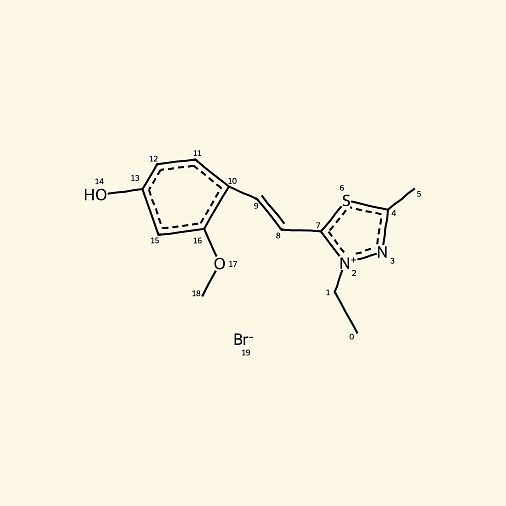 CC[n+]1nc(C)sc1/C=C/c1ccc(O)cc1OC.[Br-]